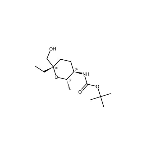 CC[C@@]1(CO)CC[C@@H](NC(=O)OC(C)(C)C)[C@H](C)O1